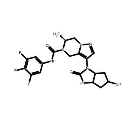 C[C@H]1Cn2ncc(N3C(=O)NC4CC(O)CC43)c2CN1C(=O)Nc1cc(F)c(F)c(F)c1